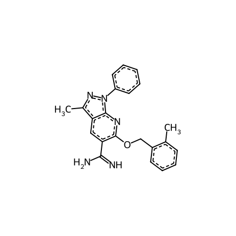 Cc1ccccc1COc1nc2c(cc1C(=N)N)c(C)nn2-c1ccccc1